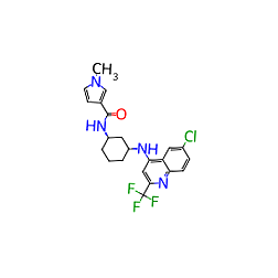 Cn1ccc(C(=O)N[C@@H]2CCC[C@H](Nc3cc(C(F)(F)F)nc4ccc(Cl)cc34)C2)c1